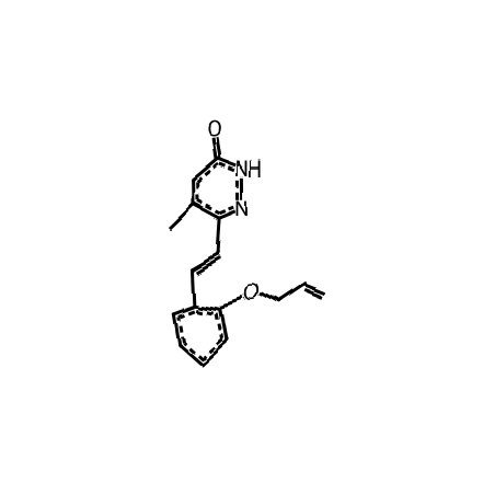 C=CCOc1ccccc1C=Cc1n[nH]c(=O)cc1C